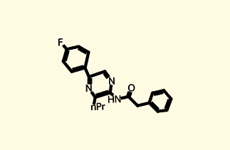 CCCc1nc(-c2ccc(F)cc2)cnc1NC(=O)Cc1ccccc1